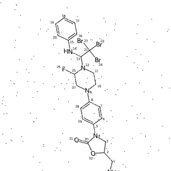 CC(=O)NCC1CN(c2ccc(N3CCN(C(Nc4ccccc4)C(Br)(Br)Br)C(F)C3)cc2)C(=O)O1